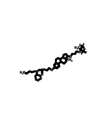 CCCCCN(CC(=O)NCCOc1ccc2c(c1)CCC1C2CCC2(C)C(OCCCOC(C)(C(F)(F)F)C(F)(F)F)CCC12)C1CCSSC1